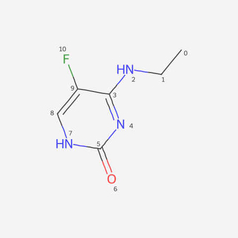 CCNc1nc(=O)[nH]cc1F